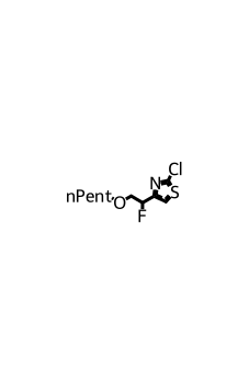 CCCCCOCC(F)c1csc(Cl)n1